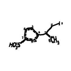 CC(CI)c1ccc(S(=O)(=O)O)s1